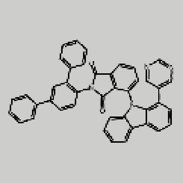 O=C1c2cccc(-n3c4ccccc4c4cccc(-c5cncnc5)c43)c2C(=O)N1c1ccc(-c2ccccc2)cc1-c1ccccc1